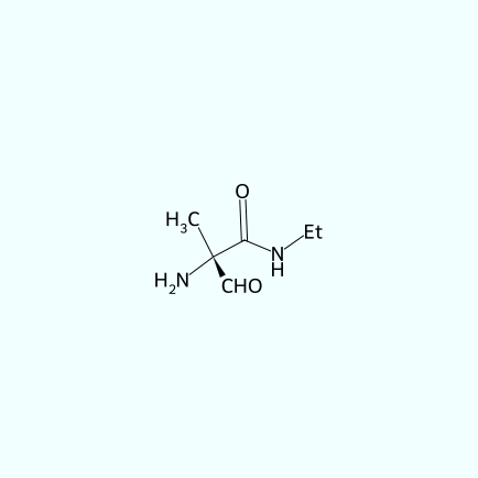 [CH2]CNC(=O)[C@@](C)(N)C=O